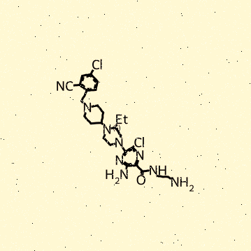 CC[C@H]1CN(c2nc(N)c(C(=O)NCCN)nc2Cl)CCN1C1CCN(Cc2ccc(Cl)cc2C#N)CC1